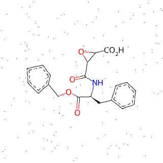 O=C(O)C1OC1C(=O)N[C@@H](Cc1ccccc1)C(=O)OCc1ccccc1